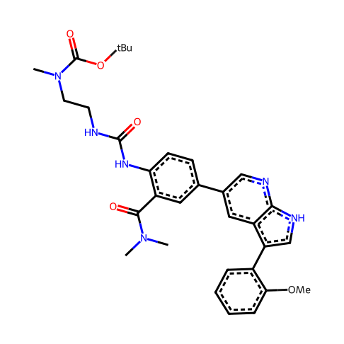 COc1ccccc1-c1c[nH]c2ncc(-c3ccc(NC(=O)NCCN(C)C(=O)OC(C)(C)C)c(C(=O)N(C)C)c3)cc12